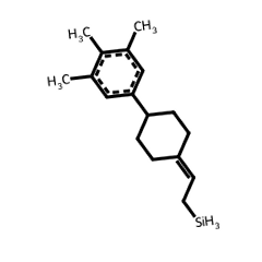 Cc1cc(C2CCC(=CC[SiH3])CC2)cc(C)c1C